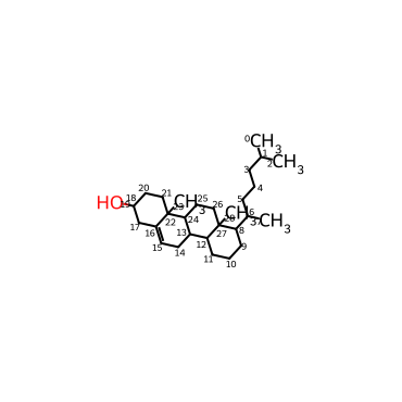 CC(C)CCCC(C)C1CCCC2C3CC=C4CC(O)CCC4(C)C3CCC12C